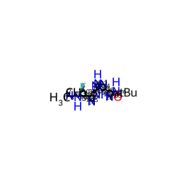 CN(C)CCNc1cc(F)cc(-c2cncc3[nH]c(-c4n[nH]c5ncc(-c6cncc(NC(=O)C(C)(C)C)c6)cc45)cc23)c1